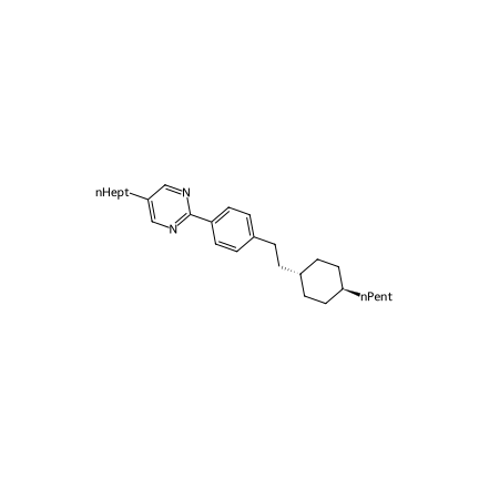 CCCCCCCc1cnc(-c2ccc(CC[C@H]3CC[C@H](CCCCC)CC3)cc2)nc1